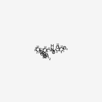 COc1ccc(C=CC(=O)NCCc2ccc(Oc3ccccc3)c(S(N)(=O)=O)c2)c(OC)c1